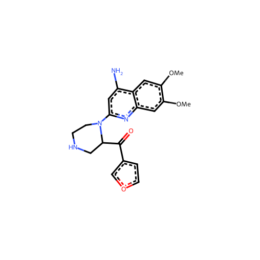 COc1cc2nc(N3CCNCC3C(=O)c3ccoc3)cc(N)c2cc1OC